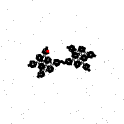 Cc1ccc(N2c3cccc4c3B3c5c2ccc2c5B5c6c(cccc6-n6c7ccc(C)cc7c7cc(c3c5c76)N4c3ccc(C)cc3)N2c2ccc(CCc3ccc(N4c5cccc6c5B5c7c(cc8c9cc(C)ccc9n9c8c7B7c8c-9cccc8-n8c9ccc(C)cc9c9cc4c5c7c98)N6c4ccc(C)cc4)cc3)cc2)cc1